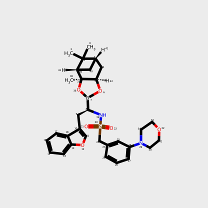 CC1(C)[C@@H]2C[C@H]3OB([C@H](Cc4coc5ccccc45)NS(=O)(=O)Cc4cccc(N5CCOCC5)c4)O[C@@]3(C)[C@H]1C2